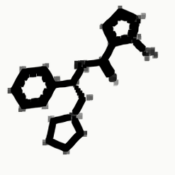 Cn1nccc1C(=O)N[C@H](CN1CCCC1)c1ccccc1